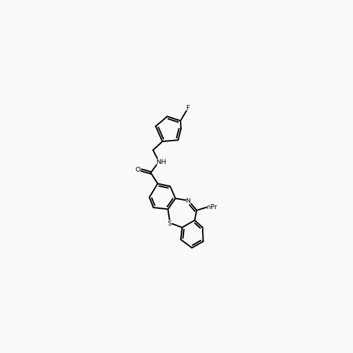 CCCC1=Nc2cc(C(=O)NCc3ccc(F)cc3)ccc2Sc2ccccc21